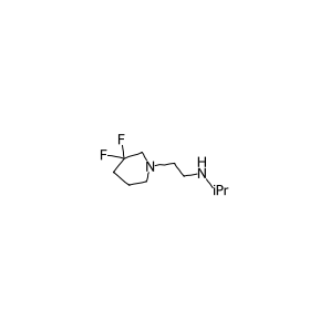 CC(C)NCCN1CCCC(F)(F)C1